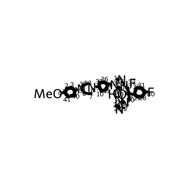 COc1ccc(N2CCN(c3ccc(-n4cnn(CC(O)(Cn5cncn5)c5ccc(F)cc5F)c4=O)cc3)CC2)cc1